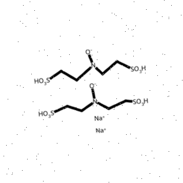 O=S(=O)(O)CCN([O-])CCS(=O)(=O)O.O=S(=O)(O)CCN([O-])CCS(=O)(=O)O.[Na+].[Na+]